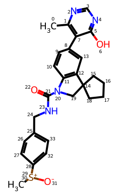 Cc1ncnc(O)c1-c1ccc2c(c1)C1(CCCC1)CN2C(=O)NCc1ccc([S+](C)[O-])cc1